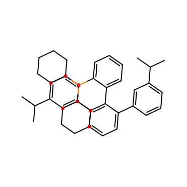 CC(C)c1cccc(-c2cccc(-c3cccc(C(C)C)c3)c2-c2ccccc2P(C2CCCCC2)C2CCCCC2)c1